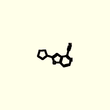 N#Cc1nccc2oc(C3CCCC3)cc12